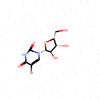 O=c1[nH]c(=O)n([C@@H]2O[C@H](CO)[C@H](O)[C@H]2O)cc1Br